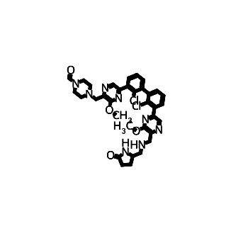 COc1nc(-c2cccc(-c3cccc(-c4cnc(CN5CCN(C=O)CC5)c(OC)n4)c3Cl)c2Cl)cnc1CNCC1CCC(=O)N1